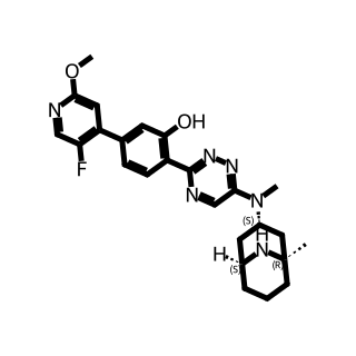 COc1cc(-c2ccc(-c3ncc(N(C)[C@H]4C[C@@H]5CCC[C@](C)(C4)N5)nn3)c(O)c2)c(F)cn1